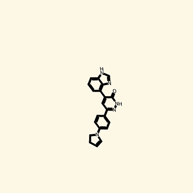 O=c1[nH]nc(-c2ccc(N3C=CCC3)cc2)cc1-c1cccc2[nH]cnc12